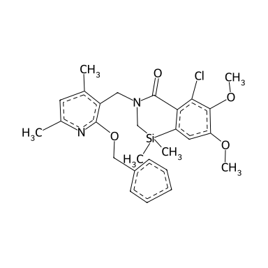 COc1cc2c(c(Cl)c1OC)C(=O)N(Cc1c(C)cc(C)nc1OCc1ccccc1)C[Si]2(C)C